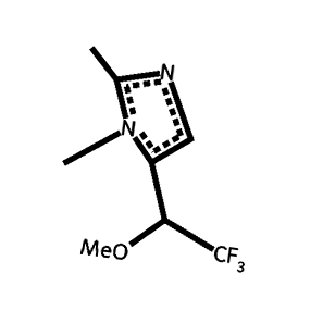 COC(c1cnc(C)n1C)C(F)(F)F